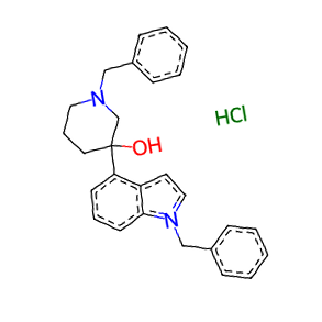 Cl.OC1(c2cccc3c2ccn3Cc2ccccc2)CCCN(Cc2ccccc2)C1